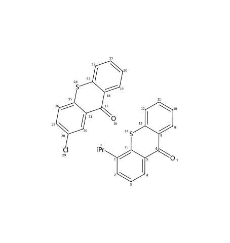 CC(C)c1cccc2c(=O)c3ccccc3sc12.O=c1c2ccccc2sc2ccc(Cl)cc12